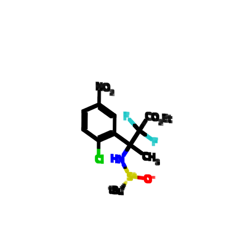 CCOC(=O)C(F)(F)C(C)(N[S@+]([O-])C(C)(C)C)c1cc([N+](=O)[O-])ccc1Cl